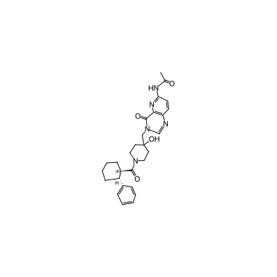 CC(=O)Nc1ccc2ncn(CC3(O)CCN(C(=O)[C@@H]4CCCC[C@H]4c4ccccc4)CC3)c(=O)c2n1